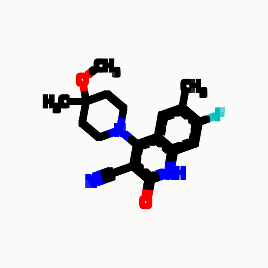 COC1(C)CCN(c2c(C#N)c(=O)[nH]c3cc(F)c(C)cc23)CC1